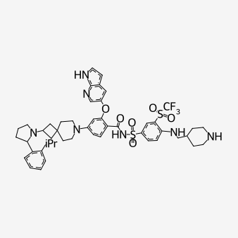 CC(C)c1ccccc1C1CCCN1C1CC2(CCN(c3ccc(C(=O)NS(=O)(=O)c4ccc(NCC5CCNCC5)c(S(=O)(=O)C(F)(F)F)c4)c(Oc4cnc5[nH]ccc5c4)c3)CC2)C1